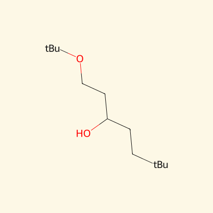 CC(C)(C)CCC(O)CCOC(C)(C)C